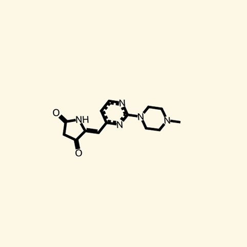 CN1CCN(c2nccc(/C=C3\NC(=O)CC3=O)n2)CC1